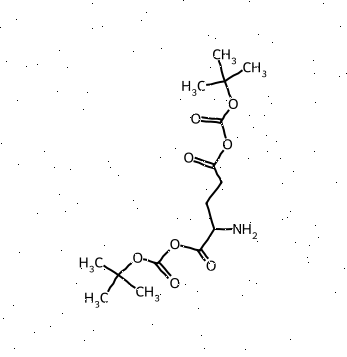 CC(C)(C)OC(=O)OC(=O)CCC(N)C(=O)OC(=O)OC(C)(C)C